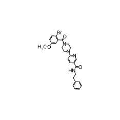 COc1ccc(Br)c(C(=O)N2CCN(c3ccc(C(=O)NCCc4ccccc4)cn3)CC2)c1